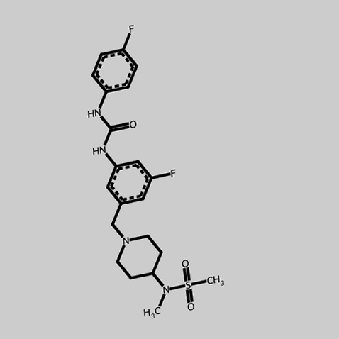 CN(C1CCN(Cc2cc(F)cc(NC(=O)Nc3ccc(F)cc3)c2)CC1)S(C)(=O)=O